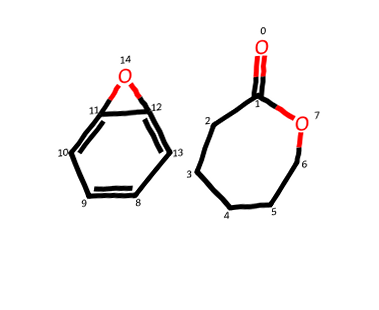 O=C1CCCCCO1.c1ccc2c(c1)O2